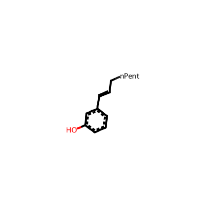 CCCCCCC=Cc1cccc(O)c1